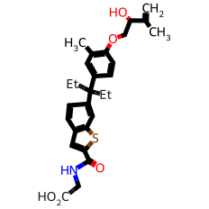 C=C(C)C(O)COc1ccc(C(CC)(CC)c2ccc3cc(C(=O)NCC(=O)O)sc3c2)cc1C